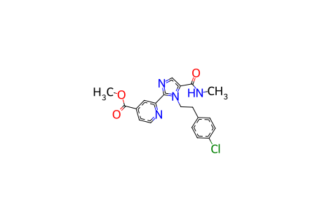 CNC(=O)c1cnc(-c2cc(C(=O)OC)ccn2)n1CCc1ccc(Cl)cc1